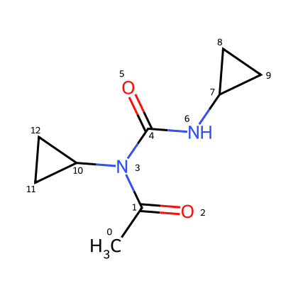 CC(=O)N(C(=O)NC1CC1)C1CC1